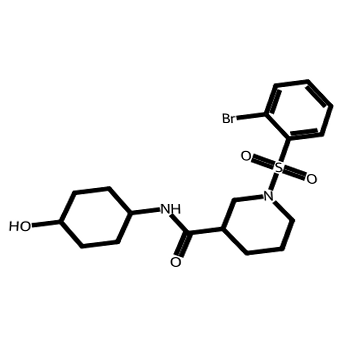 O=C(NC1CCC(O)CC1)C1CCCN(S(=O)(=O)c2ccccc2Br)C1